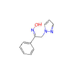 ON=C(Cn1cccn1)c1ccccc1